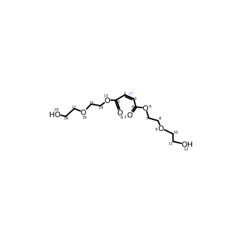 O=C(/C=C\C(=O)OCCOCCO)OCCOCCO